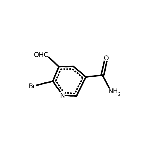 NC(=O)c1cnc(Br)c(C=O)c1